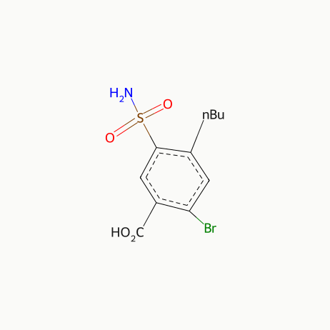 CCCCc1cc(Br)c(C(=O)O)cc1S(N)(=O)=O